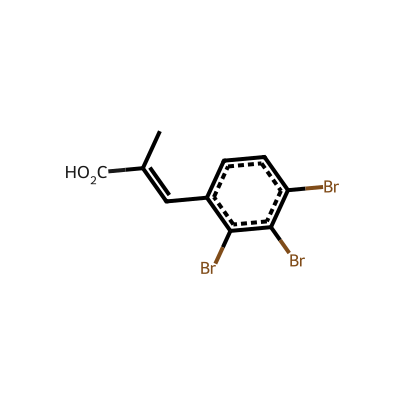 CC(=Cc1ccc(Br)c(Br)c1Br)C(=O)O